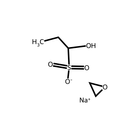 C1CO1.CCC(O)S(=O)(=O)[O-].[Na+]